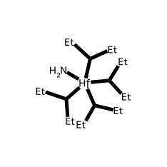 CC[CH](CC)[Hf]([NH2])([CH](CC)CC)([CH](CC)CC)[CH](CC)CC